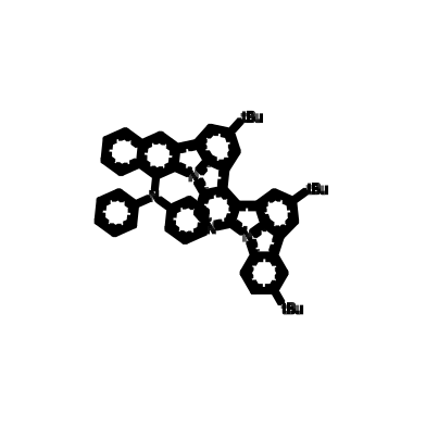 CC(C)(C)c1ccc2c(c1)c1cc(C(C)(C)C)cc3c4c5c6cc(C(C)(C)C)cc7c8cc9ccccc9c(N(c9ccccc9)c9ccccc9)c8n(c5cnc4n2c13)c76